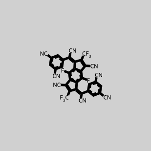 N#CC1=C(C(F)(F)F)/C(=C(\C#N)c2cc(C#N)cc(C#N)c2)c2c(F)c3c(c(F)c21)/C(=C(/C#N)c1cc(C#N)cc(C#N)c1)C(C(F)(F)F)=C3C#N